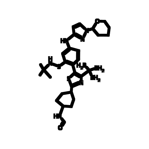 BC(B)(B)c1nc(C2CCC(NC=O)CC2)sc1-c1ccc(Nc2ccn(C3CCCCO3)n2)cc1SNC(C)(C)C